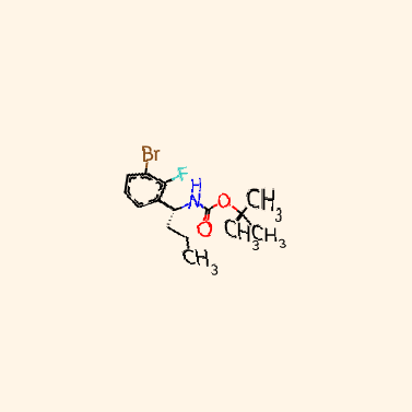 CCC[C@@H](NC(=O)OC(C)(C)C)c1cccc(Br)c1F